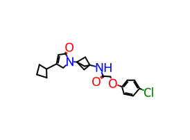 O=C(COc1ccc(Cl)cc1)NC12CC(N3CC(C4CCC4)=CC3=O)(C1)C2